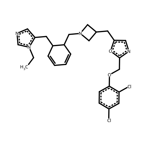 CCn1cncc1CC1C=CC=CC1CN1CC(Cc2cnc(COc3ccc(Cl)cc3Cl)o2)C1